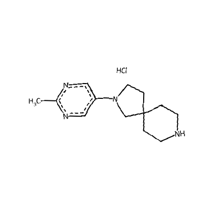 Cc1ncc(N2CCC3(CCNCC3)C2)cn1.Cl